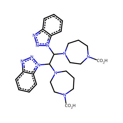 O=C(O)N1CCCN(C(C(N2CCCN(C(=O)O)CC2)n2nnc3ccccc32)n2nnc3ccccc32)CC1